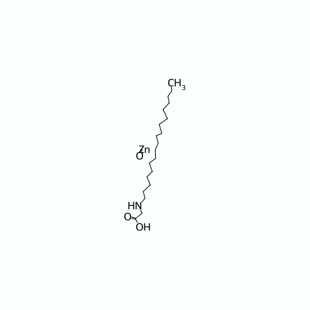 CCCCCCCCCCCCCCCCCCNCC(=O)O.[O]=[Zn]